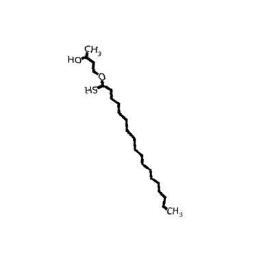 CCCCCCCCCCCCCCCCCC(S)OCCC(C)O